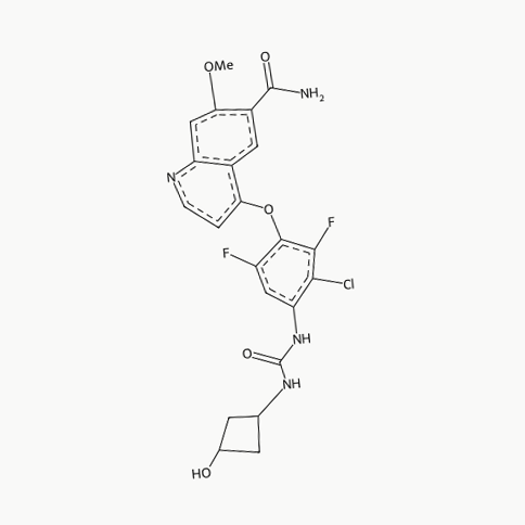 COc1cc2nccc(Oc3c(F)cc(NC(=O)NC4CC(O)C4)c(Cl)c3F)c2cc1C(N)=O